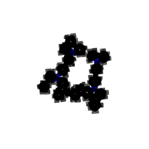 CC1(C)c2cc(CC3(C)c4ccccc4-c4cc(N(c5ccc(-c6ccc7c(c6)c6ccccc6n7-c6ccccc6-c6ccccc6)cc5)c5cccc(-c6ccccc6)c5)ccc43)ccc2-c2cc3c(cc21)N(c1ccc(-c2ccc(-n4c5ccccc5c5ccccc54)cc2)cc1)c1cccc2c1C3(C)c1ccccc1-2